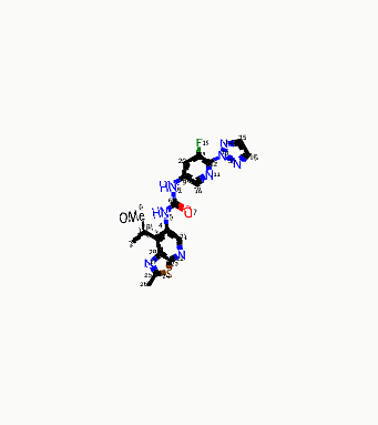 CO[C@H](C)c1c(NC(=O)Nc2cnc(-n3nccn3)c(F)c2)cnc2sc(C)nc12